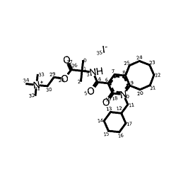 CC(C)(NC(=O)c1cc2c(n(CC3CCCCC3)c1=O)CCCCCC2)C(=O)OCC[N+](C)(C)C.[I-]